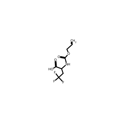 C=CCOC(=O)NC(CC(F)(F)F)C(=O)O